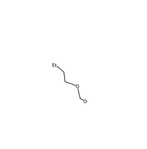 [CH2]CCCOC[O]